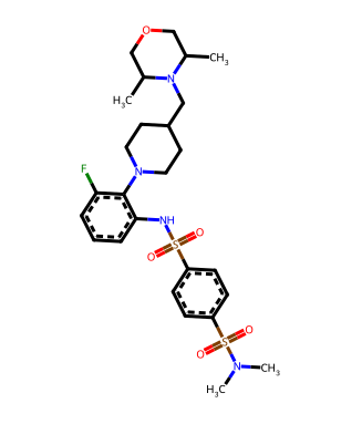 CC1COCC(C)N1CC1CCN(c2c(F)cccc2NS(=O)(=O)c2ccc(S(=O)(=O)N(C)C)cc2)CC1